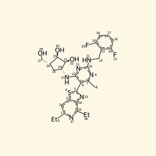 CCc1cc2sc(-c3c(C)nc(NCc4c(F)cccc4F)nc3N[C@@H]3C[C@H](CO)[C@@H](O)[C@H]3O)nc2c(CC)n1